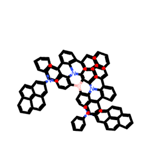 c1ccc(-c2cc3c4c(c2)N(c2c(-c5ccccc5)cccc2-c2ccccc2)c2cc(N(c5ccccc5)c5cc6ccc7cccc8ccc(c5)c6c78)ccc2B4c2ccc(N(c4ccccc4)c4cc5ccc6cccc7ccc(c4)c5c67)cc2N3c2c(-c3ccccc3)cccc2-c2ccccc2)cc1